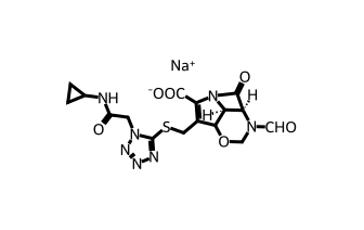 O=CN1COC2C(CSc3nnnn3CC(=O)NC3CC3)=C(C(=O)[O-])N3C(=O)[C@@H]1[C@@H]23.[Na+]